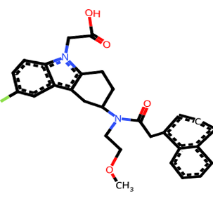 COCCN(C(=O)Cc1cccc2ccccc12)C1CCc2c(c3cc(F)ccc3n2CC(=O)O)C1